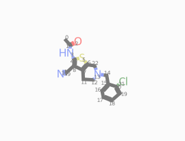 CC(=O)Nc1sc2c(c1C#N)CCN(Cc1ccccc1Cl)C2